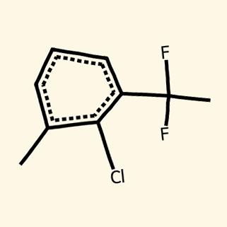 Cc1cccc(C(C)(F)F)c1Cl